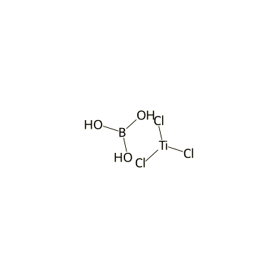 OB(O)O.[Cl][Ti]([Cl])[Cl]